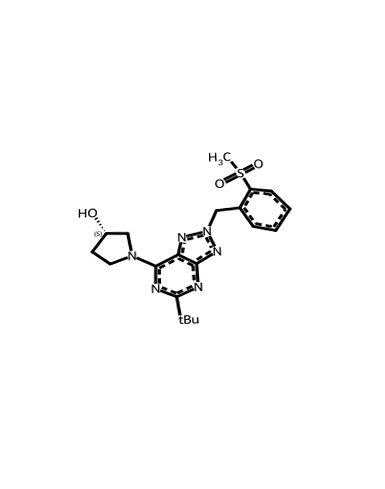 CC(C)(C)c1nc(N2CC[C@H](O)C2)c2nn(Cc3ccccc3S(C)(=O)=O)nc2n1